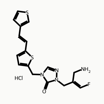 Cl.NC/C(=C\F)Cn1ncn(Cc2ccc(/C=C/c3ccsc3)s2)c1=O